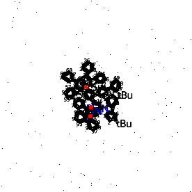 CC(C)(C)c1ccc2c(c1)c1cc(C(C)(C)C)ccc1n2-c1cc(-c2cc([Si](c3ccccc3)(c3cccc(-c4ccccc4)c3)c3cccc(-c4ccccc4)c3)cc([Si](c3ccccc3)(c3cccc(-c4ccccc4)c3)c3cccc(-c4ccccc4)c3)c2)nc(-n2c3ccccc3c3ccccc32)n1